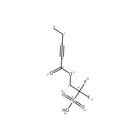 CCC#CC(=O)OCC(F)(F)S(=O)(=O)O